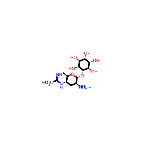 C[C@H]1O[C@H](O[C@H]2[C@H](O)[C@@H](O)[C@@H](O)[C@H](O)[C@@H]2O)[C@@H](N)C[C@@H]1NC(=N)C(=O)O.Cl